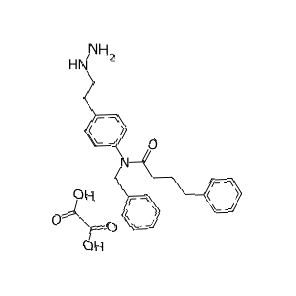 NNCCc1ccc(N(Cc2ccccc2)C(=O)CCCc2ccccc2)cc1.O=C(O)C(=O)O